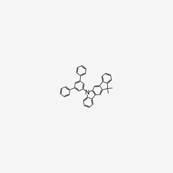 CC1(C)c2ccccc2-c2cc3c(cc21)c1ccccc1n3-c1cc(-c2ccccc2)cc(-c2ccccc2)c1